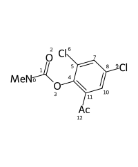 CNC(=O)Oc1c(Cl)cc(Cl)cc1C(C)=O